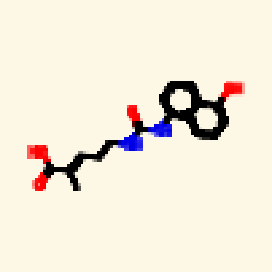 C/C(=C\CCNC(=O)Nc1cccc2c(O)cccc12)C(=O)O